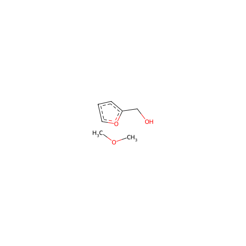 COC.OCc1ccco1